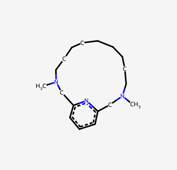 CN1CCCCCCCCCN(C)Cc2cccc(n2)C1